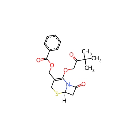 CC(C)(C)C(=O)COC1=C(COC(=O)c2ccccc2)CS[C@@H]2CC(=O)N12